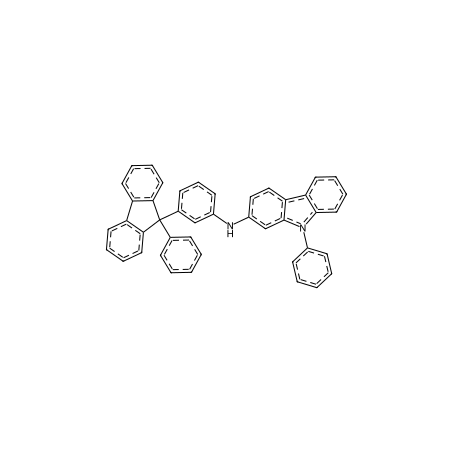 c1ccc(-n2c3ccccc3c3ccc(Nc4cccc(C5(c6ccccc6)c6ccccc6-c6ccccc65)c4)cc32)cc1